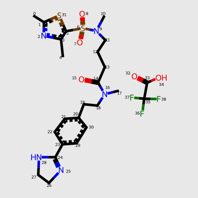 Cc1nc(C)c(S(=O)(=O)N(C)CCCC(=O)N(C)CCc2ccc(C3=NCCN3)cc2)s1.O=C(O)C(F)(F)F